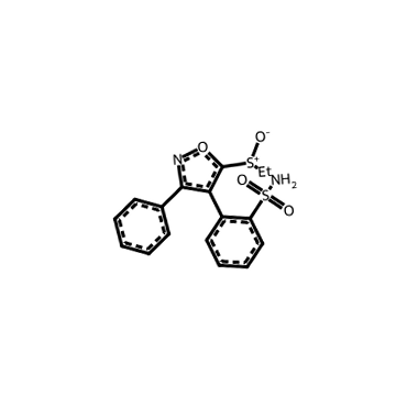 CC[S+]([O-])c1onc(-c2ccccc2)c1-c1ccccc1S(N)(=O)=O